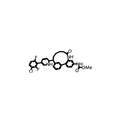 COC(=O)Nc1ccc2c(c1)NC(=O)CCCCC(C1C=CC(c3c(F)ccc(Cl)c3F)=CN1)c1cccc-2c1